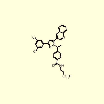 CC(c1ccc(C(=O)NCCC(=O)O)cc1)n1nc(-c2cc(Cl)cc(Cl)c2)cc1-c1cnc2ccccc2c1